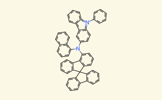 c1ccc(-n2c3ccccc3c3cc(N(c4cccc5c4-c4ccccc4C54c5ccccc5-c5ccccc54)c4cccc5ccccc45)ccc32)cc1